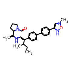 C=C(N/C=C(/c1ccc(-c2ccc(C3=CN(C)ON3)cc2)cc1)C(C)CC)C1CCCN1C=O